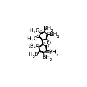 Bc1c(C)c(C)c2c(oc3c(B)c(B)c(B)c(C(C)(C)C)c32)c1B